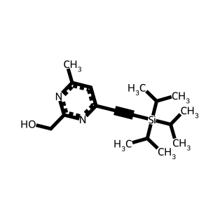 Cc1cc(C#C[Si](C(C)C)(C(C)C)C(C)C)nc(CO)n1